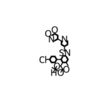 COc1cc(-c2cc(-c3nc4cc(C)c([C@H](OC(C)(C)C)C(=O)O)c(-c5ccc(Cl)cc5)c4s3)ccn2)cnc1OC